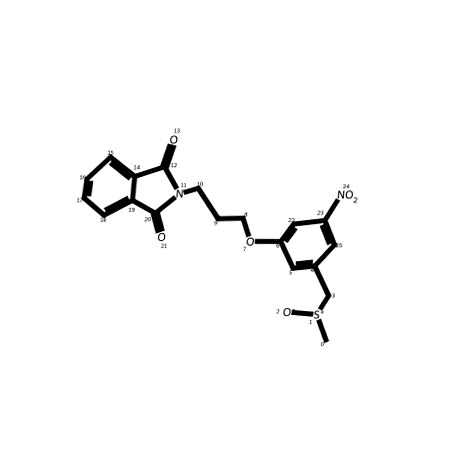 C[S+]([O-])Cc1cc(OCCCN2C(=O)c3ccccc3C2=O)cc([N+](=O)[O-])c1